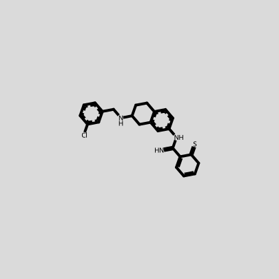 N=C(Nc1ccc2c(c1)CC(NCc1cccc(Cl)c1)CC2)C1=CC=CCC1=S